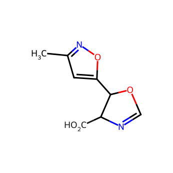 Cc1cc(C2OC=NC2C(=O)O)on1